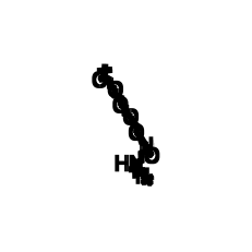 CN(CCOCCOCCOCCOCCC(=O)C(C)(C)C)C(=O)CCNC1(C)CN(C(C)(C)C)C1